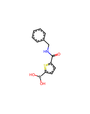 O=C(NCc1ccccc1)c1ccc(B(O)O)s1